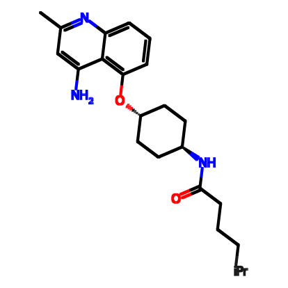 Cc1cc(N)c2c(O[C@H]3CC[C@H](NC(=O)CCCC(C)C)CC3)cccc2n1